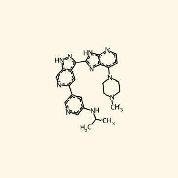 CC(C)Nc1cncc(-c2cc3c(-c4nc5c(N6CCN(C)CC6)ccnc5[nH]4)n[nH]c3cn2)c1